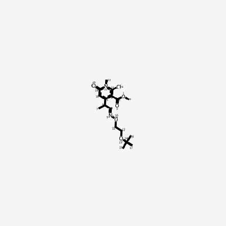 COC(=O)c1c(C(C)C=NOCCOC(C)(C)C)cc(=O)n(C)c1Cl